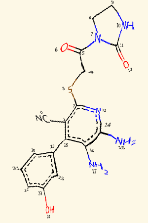 N#Cc1c(SCC(=O)N2CCNC2=O)nc(N)c(N)c1-c1cccc(O)c1